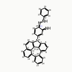 N=C1C=C(n2c3cccc4c3c3c5c(cccc5ccc32)-c2ccccc2-4)C=C/C1=N/Nc1ccccc1